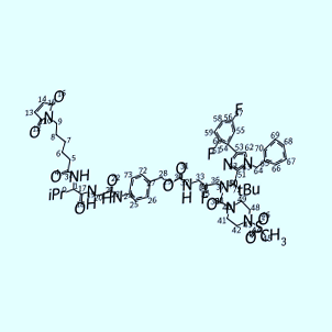 CC(C)C(NC(=O)CCCCCN1C(=O)C=CC1=O)C(=O)NCC(=O)Nc1ccc(COC(=O)NC[C@H](F)CN(C(=O)N2CCN(S(C)(=O)=O)CC2)[C@@H](c2nc(-c3cc(F)ccc3F)cn2Cc2ccccc2)C(C)(C)C)cc1